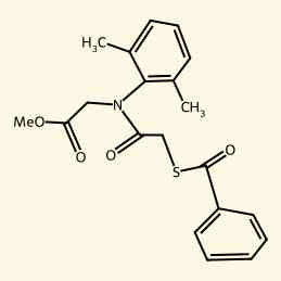 COC(=O)CN(C(=O)CSC(=O)c1ccccc1)c1c(C)cccc1C